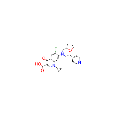 O=C(O)c1cn(C2CC2)c2cc(N(CCc3ccncc3)CC3CCCO3)c(F)cc2c1=O